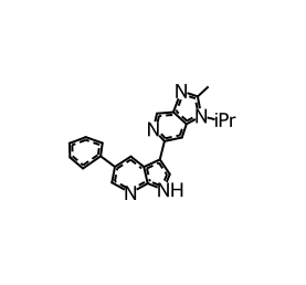 Cc1nc2cnc(-c3c[nH]c4ncc(-c5ccccc5)cc34)cc2n1C(C)C